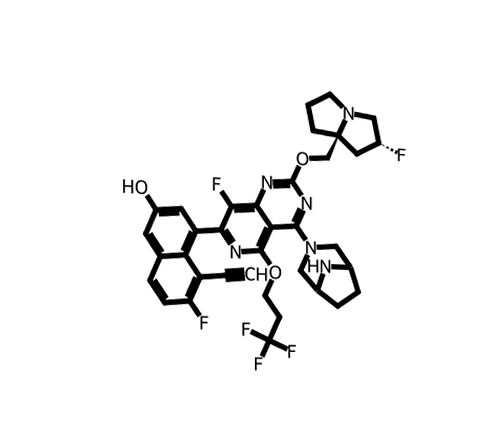 C#Cc1c(F)ccc2cc(O)cc(-c3nc(OCCC(F)(F)F)c4c(N5CC6CCC(C5)N6)nc(OC[C@@]56CCCN5C[C@H](F)C6)nc4c3F)c12